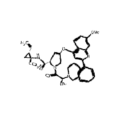 C=C[C@H]1C[C@]1(NC(=O)[C@@H]1C[C@@H](Oc2cc(-c3ccccc3)nc3cc(OC)ccc23)CN1C(=O)[C@@H](N1CCCCC1)C(C)(C)C)C(=O)OCC